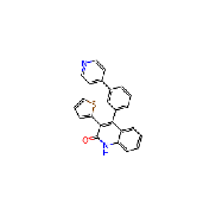 O=c1[nH]c2ccccc2c(-c2cccc(-c3ccncc3)c2)c1-c1cccs1